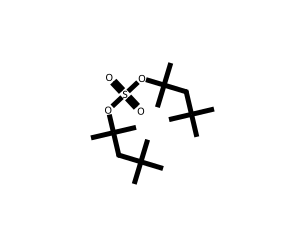 CC(C)(C)CC(C)(C)OS(=O)(=O)OC(C)(C)CC(C)(C)C